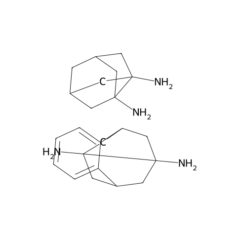 NC12CC3CC(C1)CC2(N)C3.NC12CC3CC1(N)CC(C2)c1ccccc13